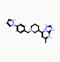 Cc1cc(C2CCCN(Cc3ccc(-n4cccn4)cc3)C2)n2ncnc2n1